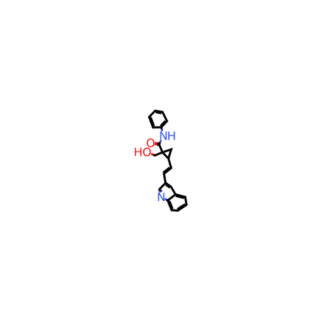 O=C(Nc1ccccc1)C1(CO)CC1C=Cc1cnc2ccccc2c1